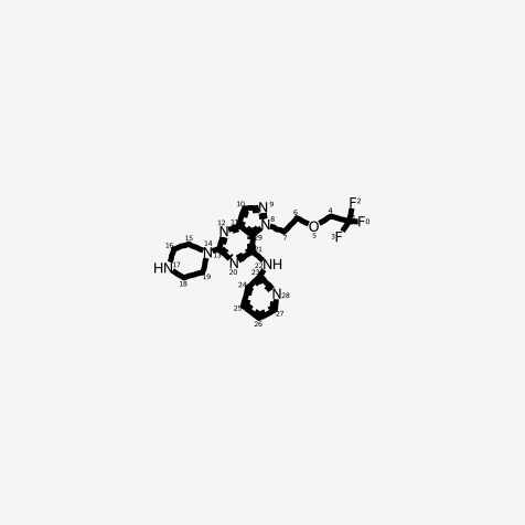 FC(F)(F)COCCn1ncc2nc(N3CCNCC3)nc(Nc3ccccn3)c21